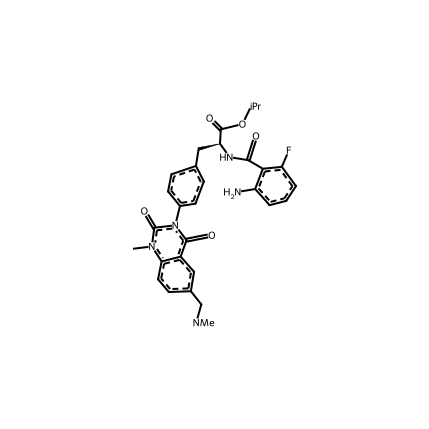 CNCc1ccc2c(c1)c(=O)n(-c1ccc(C[C@H](NC(=O)c3c(N)cccc3F)C(=O)OC(C)C)cc1)c(=O)n2C